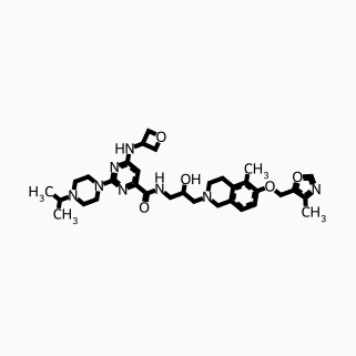 Cc1ncoc1COc1ccc2c(c1C)CCN(CC(O)CNC(=O)c1cc(NC3COC3)nc(N3CCN(C(C)C)CC3)n1)C2